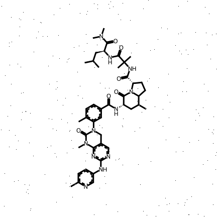 Cc1ccc(Nc2ncc3c(n2)N(C)C(=O)N(c2cc(C(=O)N[C@H]4CC(C)C5CC[C@@H](C(=O)NC(C)(C)C(=O)N[C@@H](CC(C)C)C(=O)N(C)C)N5C4=O)ccc2C)C3)cn1